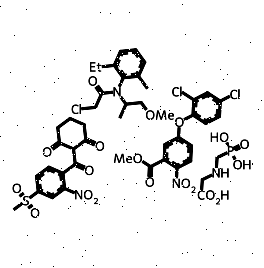 CCc1cccc(C)c1N(C(=O)CCl)C(C)COC.COC(=O)c1cc(Oc2ccc(Cl)cc2Cl)ccc1[N+](=O)[O-].CS(=O)(=O)c1ccc(C(=O)C2C(=O)CCCC2=O)c([N+](=O)[O-])c1.O=C(O)CNCP(=O)(O)O